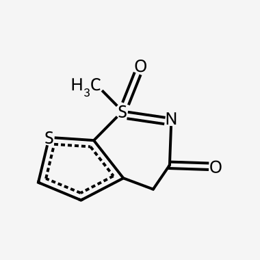 CS1(=O)=NC(=O)Cc2ccsc21